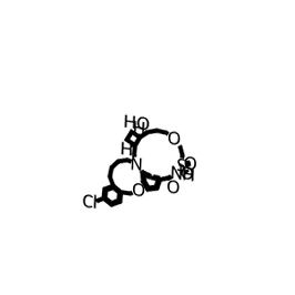 O=C1NS(=O)(=O)CCOCC[C@H](O)[C@@H]2CC[C@H]2CN2CCCCc3cc(Cl)ccc3COc3ccc1cc32